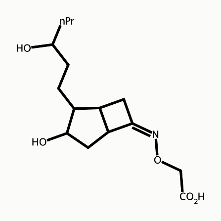 CCCC(O)CCC1C(O)CC2C(=NOCC(=O)O)CC21